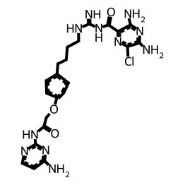 N=C(NCCCCc1ccc(OCC(=O)Nc2nccc(N)n2)cc1)NC(=O)c1nc(Cl)c(N)nc1N